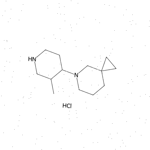 CC1CNCCC1N1CCCC2(CC2)C1.Cl